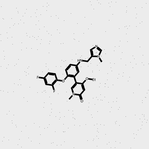 CCOc1cc(=O)n(C)cc1-c1cc(NCc2cncn2C)ccc1Oc1ccc(F)cc1F